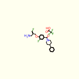 NC/C(=C/F)COc1ccc(C(=O)N2CCC(c3ccccc3)CC2)cc1F.O=C(O)C(F)(F)F